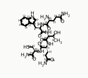 C[C@H](O)[C@@H](NC(=O)[C@@H](Cc1c[nH]c2ccccc12)NC(=O)[C@H](N)CCC(N)=O)C(=O)N[C@H](CCC(N)=O)C(=O)N[C@H](CS)C(N)=O